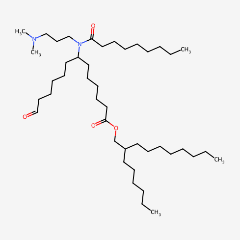 CCCCCCCCC(=O)N(CCCN(C)C)C(CCCCCC=O)CCCCCC(=O)OCC(CCCCCC)CCCCCCCC